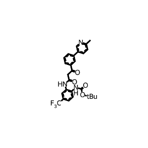 Cc1ccc(-c2cccc(C(=O)CC(=O)Nc3cc(C(F)(F)F)ccc3NC(=O)OC(C)(C)C)c2)cn1